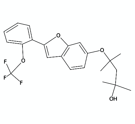 CC(C)(O)CC(C)(C)Oc1ccc2cc(-c3ccccc3OC(F)(F)F)oc2c1